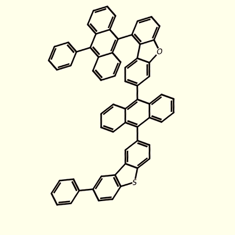 c1ccc(-c2ccc3sc4ccc(-c5c6ccccc6c(-c6ccc7c(c6)oc6cccc(-c8c9ccccc9c(-c9ccccc9)c9ccccc89)c67)c6ccccc56)cc4c3c2)cc1